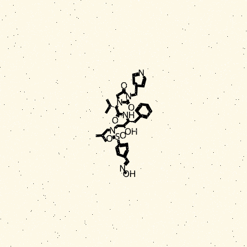 CC(C)CN(C[C@H](O)[C@H](Cc1ccccc1)NC(=O)[C@H](C(C)C)N1CC(=O)N(Cc2ccncc2)C1=O)S(=O)(=O)c1ccc(C=NO)cc1